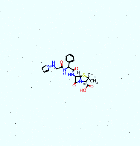 CC1(C)S[C@@H]2C(NC(=O)C(NC(=O)CNN3C=CCC3)c3ccccc3)C(=O)N2[C@H]1C(=O)O